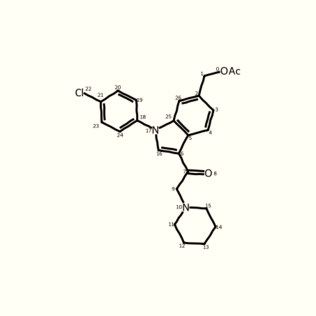 CC(=O)OCc1ccc2c(C(=O)CN3CCCCC3)cn(-c3ccc(Cl)cc3)c2c1